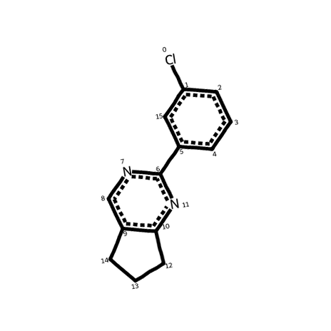 Clc1cccc(-c2ncc3c(n2)CCC3)c1